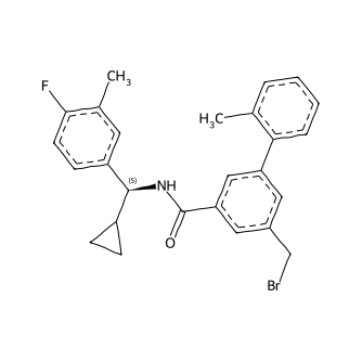 Cc1cc([C@@H](NC(=O)c2cc(CBr)cc(-c3ccccc3C)c2)C2CC2)ccc1F